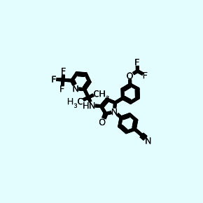 CC(C)(NC1=CC(c2cccc(OC(F)F)c2)N(c2ccc(C#N)cc2)C1=O)c1cccc(C(F)(F)F)n1